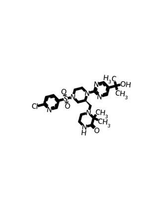 CC(C)(O)c1cnc(N2CCN(S(=O)(=O)c3ccc(Cl)nc3)C[C@@H]2CN2CCNC(=O)C2(C)C)nc1